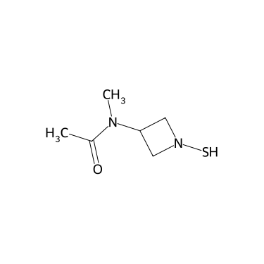 CC(=O)N(C)C1CN(S)C1